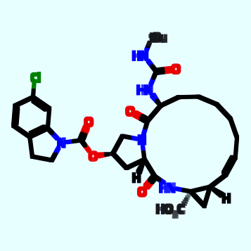 CC(C)(C)NC(=O)N[C@H]1CCCCC/C=C\[C@@H]2C[C@@]2(C(=O)O)NC(=O)[C@@H]2C[C@@H](OC(=O)N3CCc4ccc(Cl)cc43)CN2C1=O